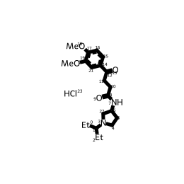 CCC(CC)N1CCC(NC(=O)CCC(=O)c2ccc(OC)c(OC)c2)C1.Cl